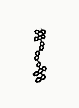 c1ccc2c(-c3c4ccccc4c(-c4ccc(-c5ccc6ccc(-c7ccc8ccc(-c9c%10ccccc%10c(-c%10cccc%11oc%12ccccc%12c%10%11)c%10ccccc9%10)cc8c7)cc6c5)cc4)c4ccccc34)cccc2c1